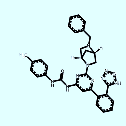 Cc1ccc(NC(=O)Nc2cc(-c3ccccc3-c3nnn[nH]3)nc(N3C[C@@H]4C[C@H]3CN4Cc3ccccc3)n2)cc1